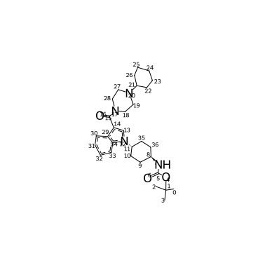 CC(C)(C)OC(=O)N[C@H]1CC[C@H](n2cc(C(=O)N3CCN(C4CCCCC4)CC3)c3ccccc32)CC1